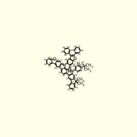 CC(C)(C)c1ccc(Nc2cc3c(cc2-c2ccc4c5cc6c(cc5n5c4c2Bc2cc4oc(-c7ccccc7)c(-c7ccccc7)c4cc2-5)oc2ccccc26)-c2ccccc2C3(C)C)cc1